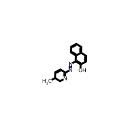 CC1C=CC(/N=N/c2c(O)ccc3ccccc23)=NC1